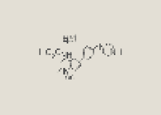 CC(=O)N1c2ccc(-c3ccc(CN4CCNCC4)cc3)cc2C(NC(=O)O)CC1C.Cl.Cl